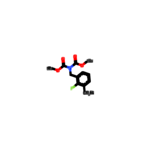 CCOC(=O)c1cccc(CN(C(=O)OC(C)(C)C)C(=O)OC(C)(C)C)c1F